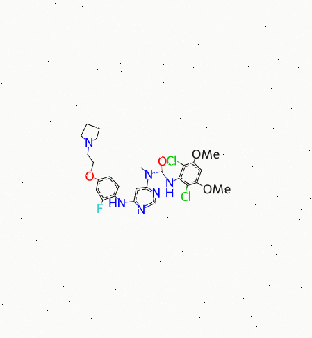 COc1cc(OC)c(Cl)c(NC(=O)N(C)c2cc(Nc3ccc(OCCN4CCCC4)cc3F)ncn2)c1Cl